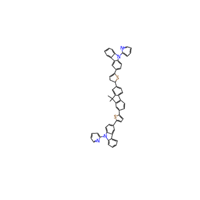 CC1(C)c2cc(-c3ccc(-c4ccc5c(c4)c4ccccc4n5-c4ccccn4)s3)ccc2-c2ccc(C3CC=C(c4ccc5c(c4)c4ccccc4n5-c4ccccn4)S3)cc21